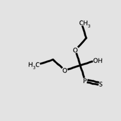 CCOC(O)(OCC)P=S